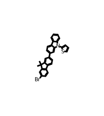 CC1(C)c2cc(Br)ccc2-c2ccc(-c3ccc4c5ccccc5n(-c5cccs5)c4c3)cc21